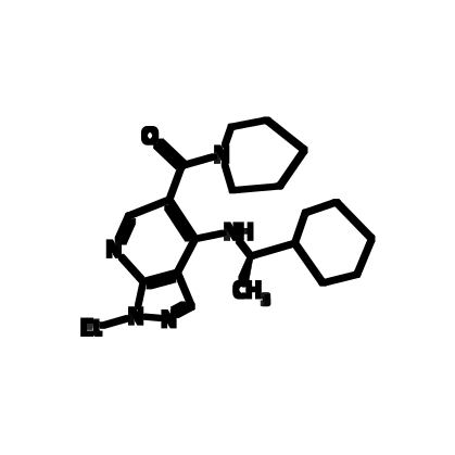 CCn1ncc2c(N[C@H](C)C3CCCCC3)c(C(=O)N3CCCCC3)cnc21